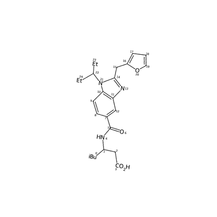 CCC(C)C(CC(=O)O)NC(=O)c1ccc2c(c1)nc(Cc1ccco1)n2C(CC)CC